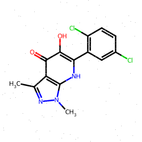 Cc1nn(C)c2[nH]c(-c3cc(Cl)ccc3Cl)c(O)c(=O)c12